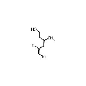 CCC=C(CC)CC(C)CCO